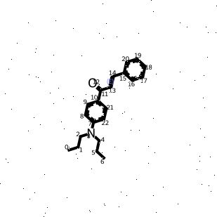 CCCN(CCC)c1ccc(C(=O)/C=C/c2ccccc2)cc1